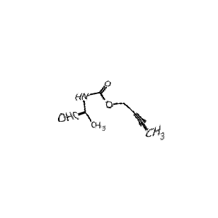 CC#CCOC(=O)NC(C)C=O